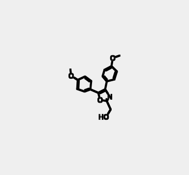 COc1ccc(-c2nc(CO)oc2-c2ccc(OC)cc2)cc1